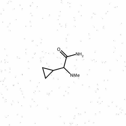 CNC(C(N)=O)C1CC1